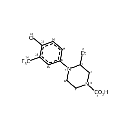 CCC1CN(C(=O)O)CCN1c1ccc(Cl)c(C(F)(F)F)c1